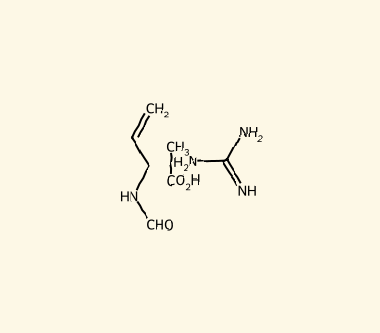 C=CCNC=O.CC(=O)O.N=C(N)N